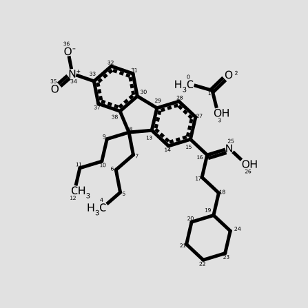 CC(=O)O.CCCCC1(CCCC)c2cc(C(CCC3CCCCC3)=NO)ccc2-c2ccc([N+](=O)[O-])cc21